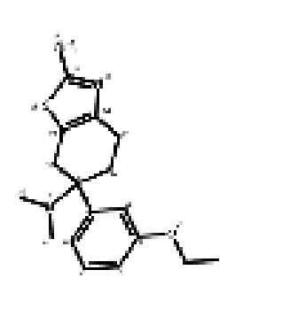 CCOc1cccc(C2(N(C)C)CCc3nc(N)sc3C2)c1